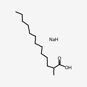 CCCCCCCCCCCC(C)C(=O)O.[NaH]